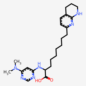 CN(C)c1cc(NC(CCCCCCCc2ccc3c(n2)NCCC3)C(=O)O)ncn1